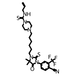 C=CCNC(=S)N1CCN(CCCCCCN2C(=S)N(c3ccc(C#N)c(C(F)(F)F)c3)C(=O)C2(C)C)CC1